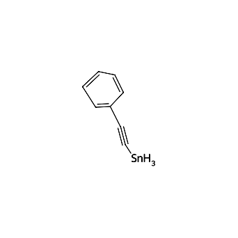 [SnH3][C]#Cc1ccccc1